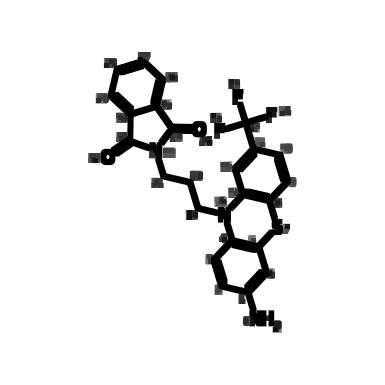 Nc1ccc2c(c1)Sc1ccc(C(F)(F)F)cc1N2CCCN1C(=O)c2ccccc2C1=O